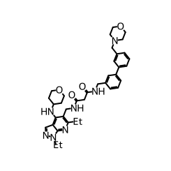 CCc1nc2c(cnn2CC)c(NC2CCOCC2)c1CNC(=O)CC(=O)NCc1cccc(-c2cccc(CN3CCOCC3)c2)c1